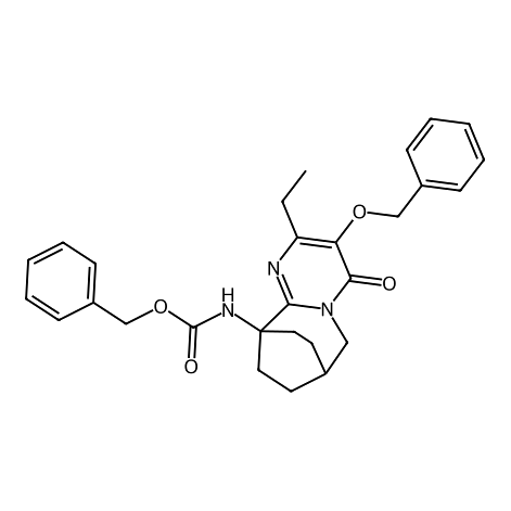 CCc1nc2n(c(=O)c1OCc1ccccc1)CC1CCC2(NC(=O)OCc2ccccc2)CC1